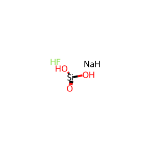 F.O=[Si](O)O.[NaH]